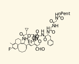 CCCCCC(=O)NCC(=O)NCC(=O)N[C@@H](Cc1ccccc1)C(=O)NCC(=O)NCOC(C(=O)N[C@H]1CCc2c(C)c(F)cc3c2/C1=C(/C)C(/C=C/C1=C(C=O)COC(=O)[C@]1(O)CC)=CCCC3)C1CC1